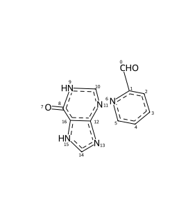 O=Cc1ccccn1.O=c1[nH]cnc2nc[nH]c12